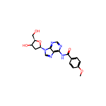 COc1ccc(C(=O)Nc2ncnc3c2ncn3[C@H]2CC(O)[C@@H](CO)O2)cc1